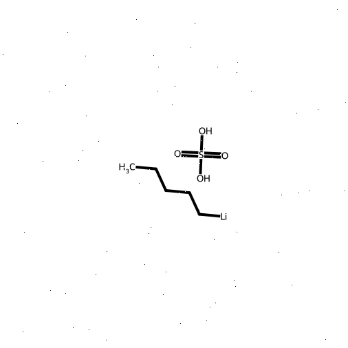 O=S(=O)(O)O.[Li][CH2]CCCC